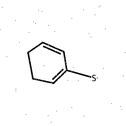 [S]C1=CCCC=C1